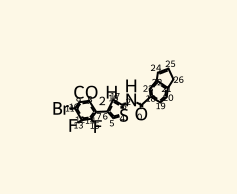 O=C(Nc1scc(-c2ccc(Br)c(F)c2F)c1C(=O)O)c1ccc2c(c1)C=CC2